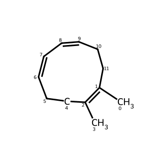 CC1=C(C)CCC=CC=CCC1